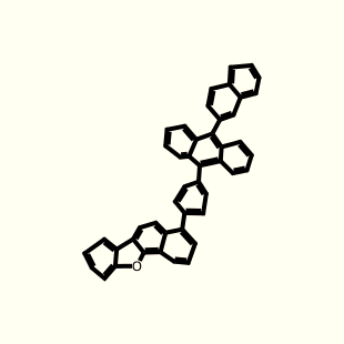 c1ccc2cc(-c3c4ccccc4c(-c4ccc(-c5cccc6c5ccc5c7ccccc7oc65)cc4)c4ccccc34)ccc2c1